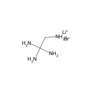 NCC(N)(N)N.[Br-].[Li+]